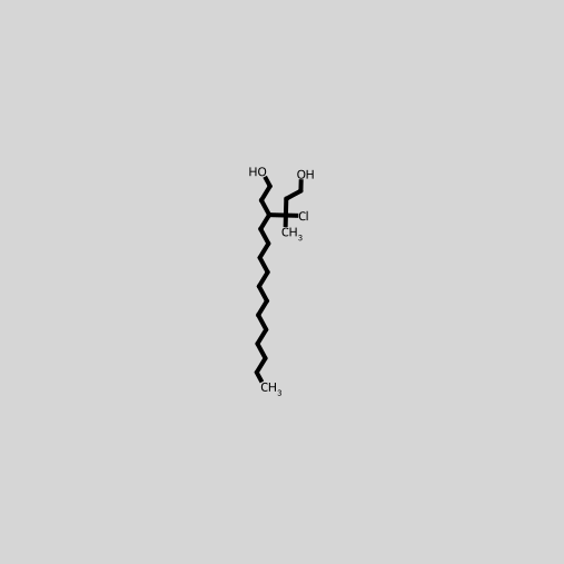 CCCCCCCCCCCCC(CCO)C(C)(Cl)CCO